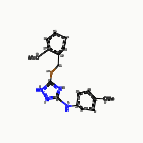 COc1ccc(Nc2n[nH]c(SCc3ccccc3OC)n2)cc1